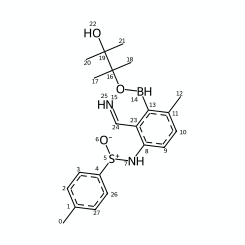 Cc1ccc([S+]([O-])Nc2ccc(C)c(BOC(C)(C)C(C)(C)O)c2C=N)cc1